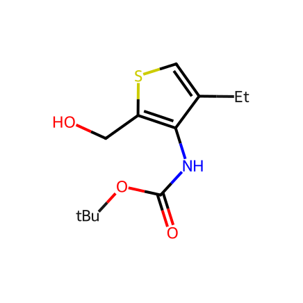 CCc1csc(CO)c1NC(=O)OC(C)(C)C